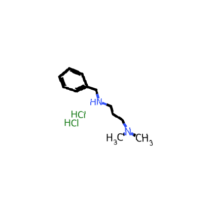 CN(C)CCCNCc1ccccc1.Cl.Cl